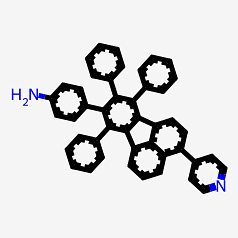 Nc1ccc(-c2c(-c3ccccc3)c(-c3ccccc3)c3c(c2-c2ccccc2)-c2cccc4c(-c5ccncc5)ccc-3c24)cc1